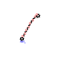 Nc1ccc(OCCOCCOCCOCCOCCOCCOC2CCCCO2)cc1